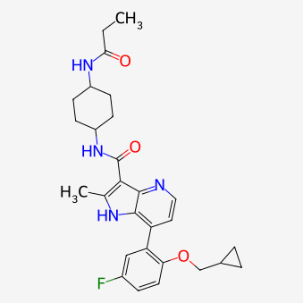 CCC(=O)NC1CCC(NC(=O)c2c(C)[nH]c3c(-c4cc(F)ccc4OCC4CC4)ccnc23)CC1